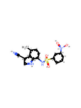 Cc1ccc(NS(=O)(=O)c2cccc([N+](=O)[O-])c2)c2[nH]cc(C#N)c12